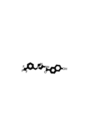 O=C(Nc1cn(Cc2cccc(C(F)(F)F)c2)cn1)c1ccc2c(c1)CCC(O)C2